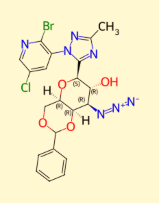 Cc1nc([C@@H]2O[C@@H]3COC(c4ccccc4)O[C@@H]3[C@H](N=[N+]=[N-])[C@H]2O)n(-c2cc(Cl)cnc2Br)n1